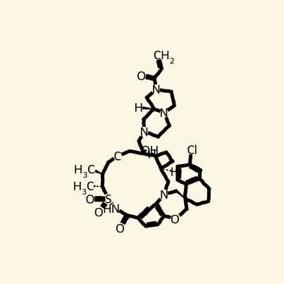 C=CC(=O)N1CCN2CCN(C[C@@]3(O)CCC[C@H](C)[C@@H](C)S(=O)(=O)NC(=O)c4ccc5c(c4)N(C[C@@H]4CC[C@H]43)C[C@@]3(CCCc4cc(Cl)ccc43)CO5)C[C@@H]2C1